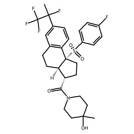 CC1(O)CCN(C(=O)[C@H]2CC[C@]3(S(=O)(=O)c4ccc(F)cc4)c4ccc(C(C)(F)C(F)(F)F)cc4CC[C@H]23)CC1